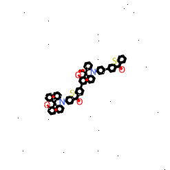 O=c1c2ccccc2sc2cc(-c3ccc(N4c5ccccc5C5(c6ccccc6Oc6cc(-c7ccc8c(=O)c9ccc(N%10c%11ccccc%11C%11(c%12ccccc%12Oc%12ccccc%12%11)c%11ccccc%11%10)cc9sc8c7)ccc65)c5ccccc54)cc3)ccc12